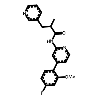 COc1cc(F)ccc1-c1ccnc(NC(=O)C(C)Cc2cccnc2)c1